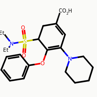 CCN(CC)S(=O)(=O)C1CC(C(=O)O)=CC(N2CCCCC2)=C1Oc1ccccc1